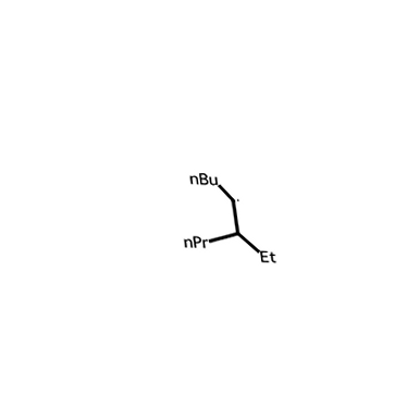 CCCC[CH]C(CC)CCC